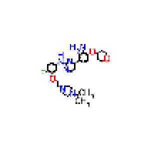 CC(C)N1CCN(CCOc2cc(Nc3nccc(-c4ccc(OC5CCOCC5)c(N)c4)n3)ccc2F)CC1